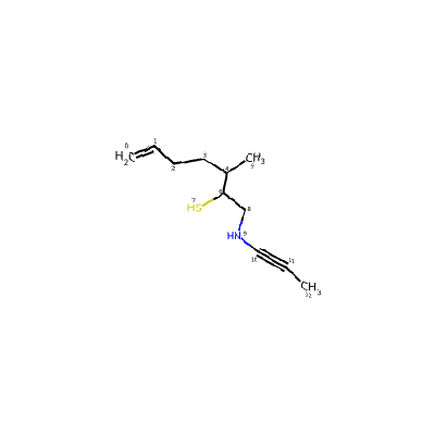 C=CCCC(C)C(S)CNC#CC